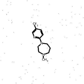 CN1CCCN(c2ccc(C(F)(F)F)cn2)CC1